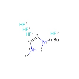 CCCCN1C=CN(C)C1.F.F.F.F